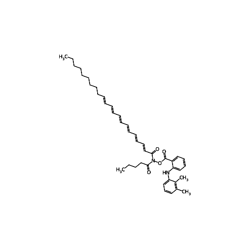 CCCCCCCCCC=CC=CC=CC=CC=CC=CC(=O)N(OC(=O)c1ccccc1Nc1cccc(C)c1C)C(=O)CCCC